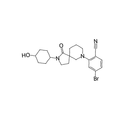 N#Cc1ccc(Br)cc1N1CCCC2(CCN(C3CCC(O)CC3)C2=O)C1